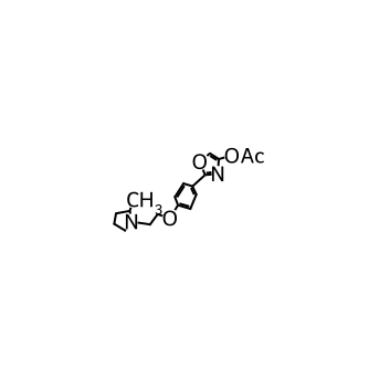 CC(=O)Oc1coc(-c2ccc(OCCN3CCCC3C)cc2)n1